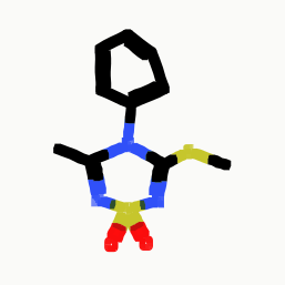 CSC1=NS(=O)(=O)N=C(C)N1c1ccccc1